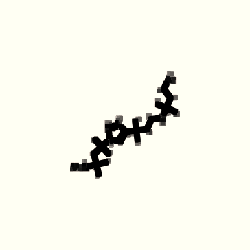 CNC(C)(C)CC(C)(C)n1cc(C(C)(C)CCOC(C)(C)CCC(C)=O)nn1